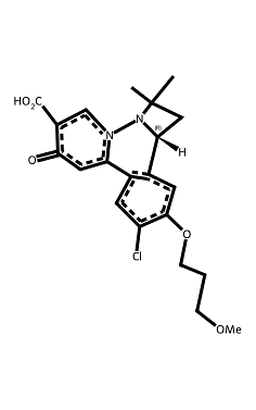 COCCCOc1cc2c(cc1Cl)-c1cc(=O)c(C(=O)O)cn1N1[C@@H]2CC1(C)C